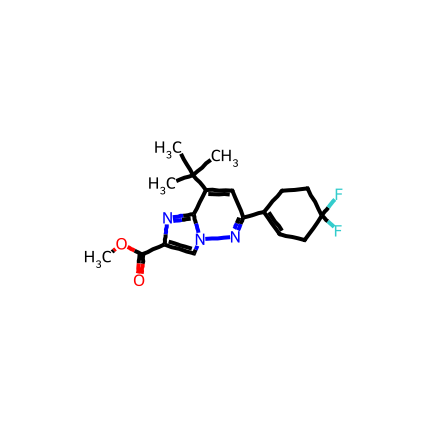 COC(=O)c1cn2nc(C3=CCC(F)(F)CC3)cc(C(C)(C)C)c2n1